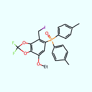 CCOc1cc(P(=O)(c2ccc(C)cc2)c2ccc(C)cc2)c(CI)c2c1OC(F)(F)O2